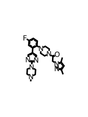 Cc1cc(C)n(CC(=O)N2CCN(c3ccc(F)cc3-c3cnc(N4CCN(C)CC4)nc3)CC2)n1